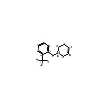 CC(C)(C)c1ccccc1CN1CC=CCC1